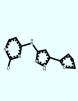 Clc1nccc(Nc2cc(-c3ccco3)[nH]n2)n1